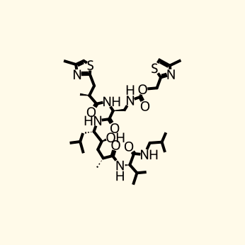 Cc1csc(COC(=O)NC[C@H](NC(=O)[C@@H](C)Cc2nc(C)cs2)C(=O)N[C@@H](CC(C)C)[C@@H](O)C[C@@H](C)C(=O)N[C@H](C(=O)NCC(C)C)C(C)C)n1